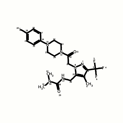 Cc1c(C(F)(F)F)nn(CC(=O)N2CCN(c3ccc(I)cc3)CC2)c1CNC(=O)N(C)C